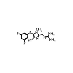 CC(C)c1nc(CN=C(N)N)n(C)c1Sc1cc(F)cc(F)c1